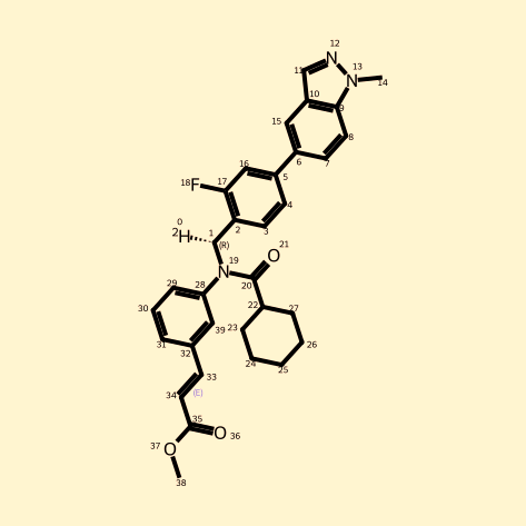 [2H][C@H](c1ccc(-c2ccc3c(cnn3C)c2)cc1F)N(C(=O)C1CCCCC1)c1cccc(/C=C/C(=O)OC)c1